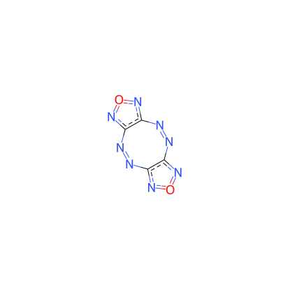 N1=Nc2nonc2N=Nc2nonc21